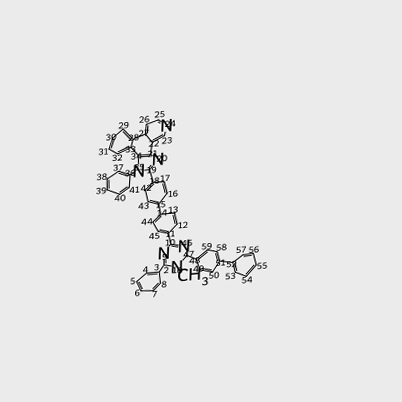 CN1C(c2ccccc2)=NC(c2ccc(-c3ccc(-c4nc5c6cnccc6c6ccccc6c5n4-c4ccccc4)cc3)cc2)=NC1c1ccc(-c2ccccc2)cc1